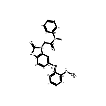 CN(C(=O)Cn1c(=O)oc2ccc(Nc3ccccc3OC(F)(F)F)cc21)c1ccccc1